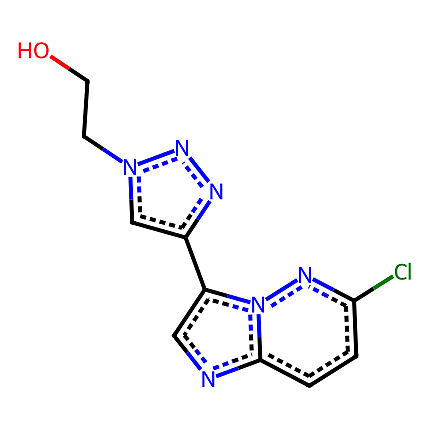 OCCn1cc(-c2cnc3ccc(Cl)nn23)nn1